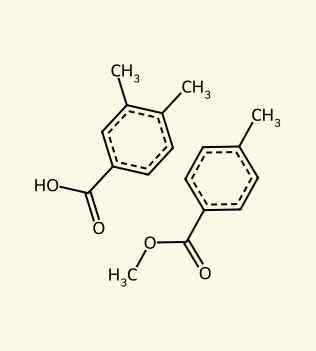 COC(=O)c1ccc(C)cc1.Cc1ccc(C(=O)O)cc1C